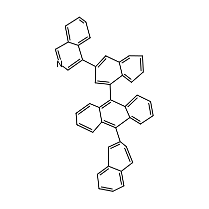 c1ccc2cc(-c3c4ccccc4c(-c4cc(-c5cncc6ccccc56)cc5ccccc45)c4ccccc34)ccc2c1